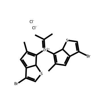 CC1=[C]([Zr+2]([C]2=C(C)C=C3C(Br)=CSC32)=[C](C)C)C2SC=C(Br)C2=C1.[Cl-].[Cl-]